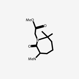 CNC1CCCC(C)(C)N(CC(=O)OC)C1=O